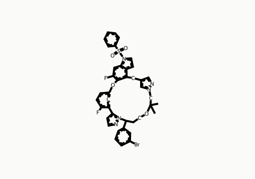 CC1(C)Cn2cc(cn2)Cc2c(c(F)cc3c2ccn3S(=O)(=O)c2ccccc2)Oc2ccc(F)c(c2)-c2ccnn2C(c2cccc(Br)c2)CCO1